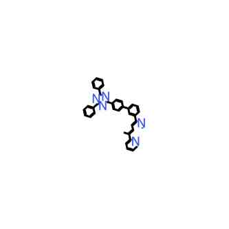 C=N/C(=C\C=C(/C)c1ccccn1)c1cccc(-c2ccc(-c3nc(-c4ccccc4)nc(-c4ccccc4)n3)cc2)c1